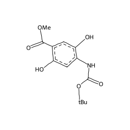 COC(=O)c1cc(O)c(NC(=O)OC(C)(C)C)cc1O